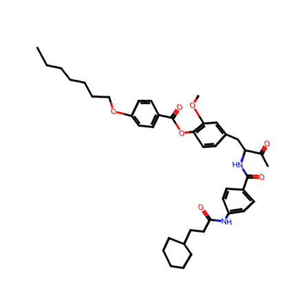 CCCCCCCOc1ccc(C(=O)Oc2ccc(CC(NC(=O)c3ccc(NC(=O)CCC4CCCCC4)cc3)C(C)=O)cc2OC)cc1